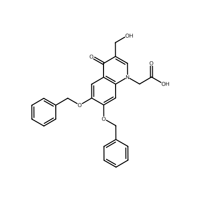 O=C(O)Cn1cc(CO)c(=O)c2cc(OCc3ccccc3)c(OCc3ccccc3)cc21